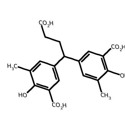 Cc1cc(C(CCC(=O)O)c2cc(C)c(O)c(C(=O)O)c2)cc(C(=O)O)c1O